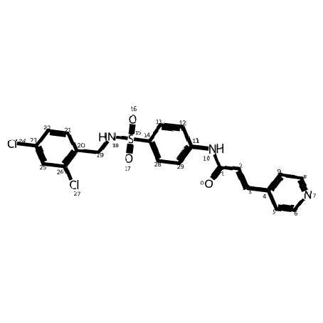 O=C(/C=C/c1ccncc1)Nc1ccc(S(=O)(=O)NCc2ccc(Cl)cc2Cl)cc1